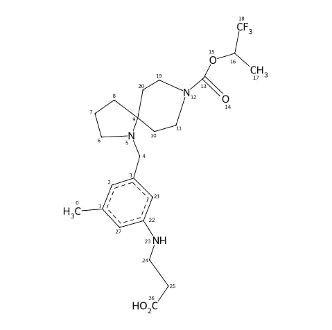 Cc1cc(CN2CCCC23CCN(C(=O)OC(C)C(F)(F)F)CC3)cc(NCCC(=O)O)c1